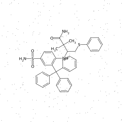 CC(C)(C(N)=O)C(CSc1ccccc1)Nc1ccc(S(N)(=O)=O)cc1C(c1ccccc1)(c1ccccc1)c1ccccc1